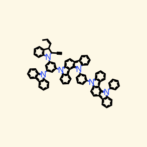 C#CC1C(/C=C\C)c2ccccc2N1c1cc(-n2c3ccccc3c3ccccc32)cc(-n2c3ccccc3c3c2ccc2c4ccccc4n(-c4cccc(-n5c6ccccc6c6c5ccc5c7ccccc7n(-c7ccccc7)c56)c4)c23)c1